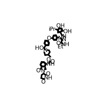 CCNC(=O)c1nnc(-c2cc(C(C)C)c(O)cc2O)n1-c1ccc(Oc2ccc(C(O)N3CCC(COC(=O)Nc4cccc5c4CN(C4CCC(=O)NC4=O)C5=O)CC3)cc2)cc1